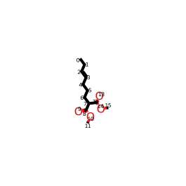 CCC=CCCCC(C(=O)OC)C(=O)OC